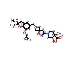 CCOc1cc(CN2CC3(CC(N4CCC(C)(C(=O)O)CC4)=NO3)C2)cc2c1OC(C)(C)C2